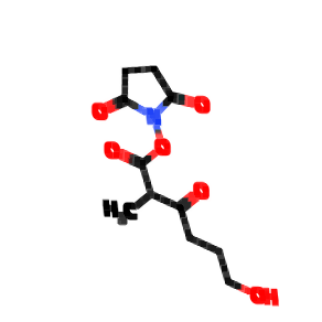 CC(C(=O)CCCO)C(=O)ON1C(=O)CCC1=O